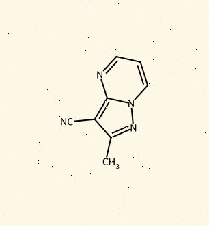 Cc1nn2cccnc2c1C#N